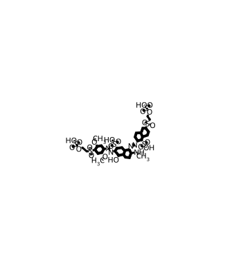 CNc1ccc2c(O)c(/N=N/c3cc(OC)c(S(=O)(=O)CCOS(=O)(=O)O)cc3OC)c(S(=O)(=O)O)cc2c1/N=N/c1ccc2cc(S(=O)(=O)CCOS(=O)(=O)O)ccc2c1S(=O)(=O)O